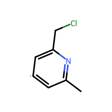 Cc1c[c]cc(CCl)n1